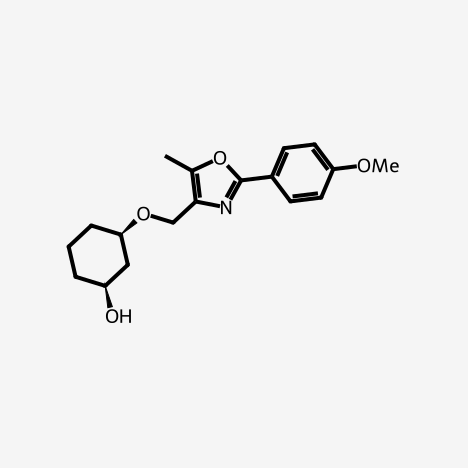 COc1ccc(-c2nc(CO[C@@H]3CCC[C@H](O)C3)c(C)o2)cc1